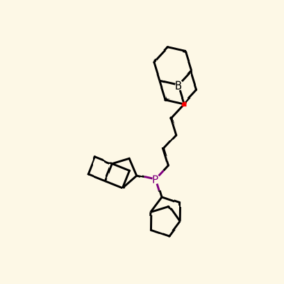 C(CCB1C2CCCC1CCC2)CCP(C1CC2CCC1C2)C1CC23CCC2C1C3